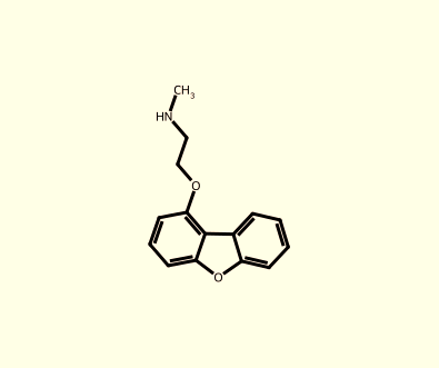 CNCCOc1cccc2oc3ccccc3c12